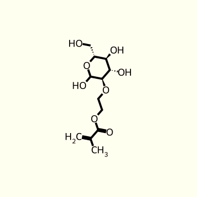 C=C(C)C(=O)OCCO[C@H]1C(O)O[C@H](CO)[C@@H](O)[C@@H]1O